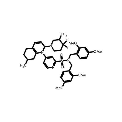 COc1ccc(CN(Cc2ccc(OC)cc2OC)S(=O)(=O)c2cc(N3C4=C(C=CC3N3CCC(F)(F)C(C)C3)CCC(C)C4)ccn2)c(OC)c1